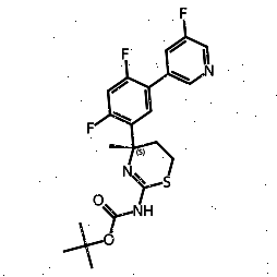 CC(C)(C)OC(=O)NC1=N[C@](C)(c2cc(-c3cncc(F)c3)c(F)cc2F)CCS1